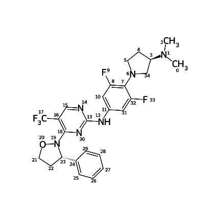 CN(C)[C@@H]1CCN(c2c(F)cc(Nc3ncc(C(F)(F)F)c(N4OCC[C@H]4c4ccccc4)n3)cc2F)C1